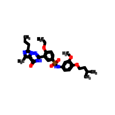 CCCc1nc(C)c2c(=O)[nH]c(-c3cc(S(=O)(=O)Nc4ccc(OCCC(C)C)c(OC)c4)ccc3OCC)nn12